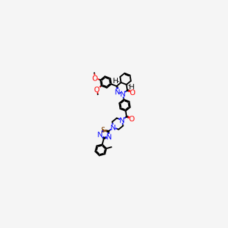 COc1ccc(C2=NN(c3ccc(C(=O)N4CCN(c5nc(-c6ccccc6C)ns5)CC4)cc3)C(=O)[C@@H]3CC=CC[C@H]23)cc1OC